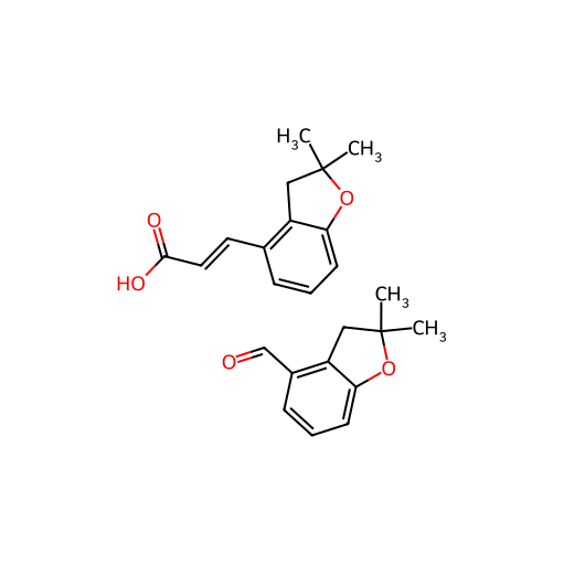 CC1(C)Cc2c(/C=C/C(=O)O)cccc2O1.CC1(C)Cc2c(C=O)cccc2O1